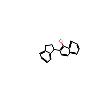 [O]c1c(C2CCc3ccccc32)ccc2ccccc12